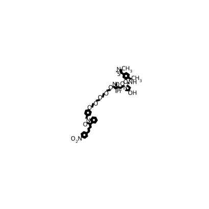 Cc1ncsc1-c1ccc([C@H](C)NC(=O)[C@@H]2C[C@@H](O)CN2C(=O)[C@@H](c2cc(OCCOCCOCCOCCOc3ccc(CN4C(=O)/C(=C\C=C\c5ccc([N+](=O)[O-])cc5)c5ccccc54)cc3)no2)C(C)C)cc1